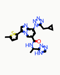 Cc1ccc(-c2cnc3c(-n4nnnc4CC4CC4)cc(C(=O)NC(C)c4nnc[nH]4)cn23)s1